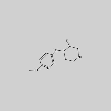 COc1ccc(OC2CCNCC2F)cn1